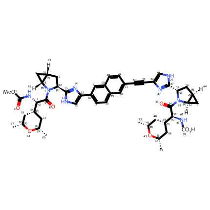 COC(=O)N[C@H](C(=O)N1[C@@H]2C[C@@H]2C[C@H]1c1nc(-c2ccc3cc(C#Cc4c[nH]c([C@@H]5C[C@H]6C[C@H]6N5C(=O)[C@@H](NC(=O)O)[C@H]5C[C@@H](C)O[C@@H](C)C5)n4)ccc3c2)c[nH]1)[C@H]1C[C@@H](C)O[C@@H](C)C1